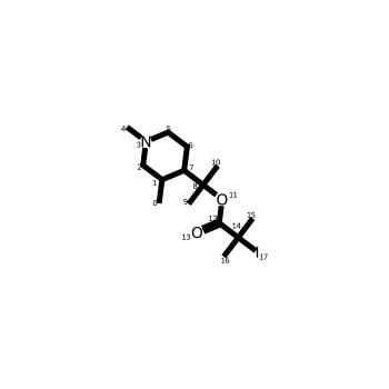 CC1CN(C)CCC1C(C)(C)OC(=O)C(C)(C)I